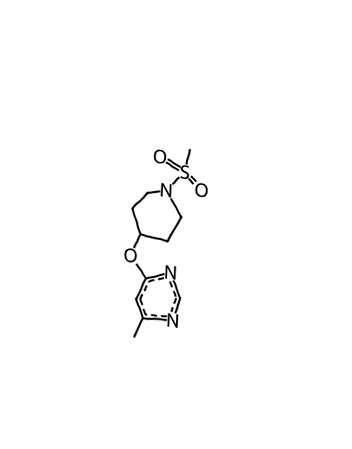 Cc1cc(OC2CCN(S(C)(=O)=O)CC2)ncn1